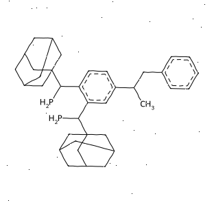 CC(Cc1ccccc1)c1ccc(C(P)C23CC4CC(CC(C4)C2)C3)c(C(P)C23CC4CC(CC(C4)C2)C3)c1